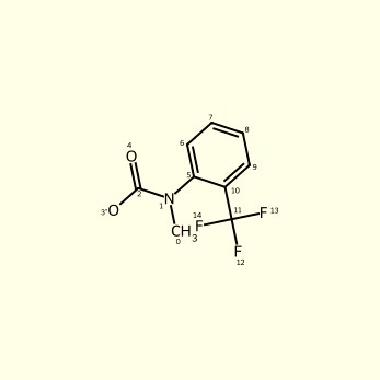 CN(C([O])=O)c1ccccc1C(F)(F)F